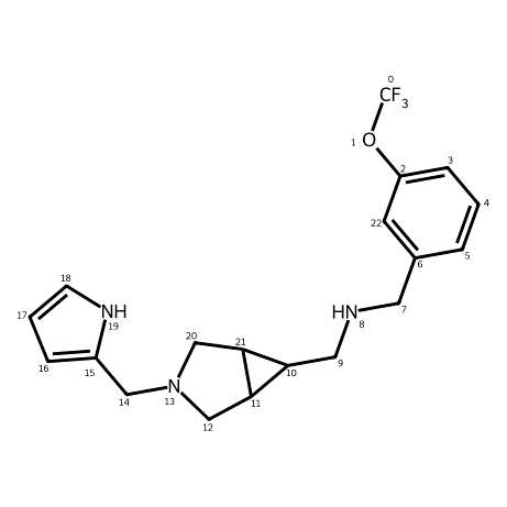 FC(F)(F)Oc1cccc(CNCC2C3CN(Cc4ccc[nH]4)CC23)c1